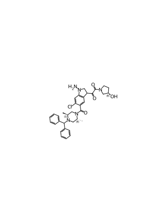 C[C@@H]1CN(C(c2ccccc2)c2ccccc2)[C@@H](C)CN1C(=O)c1cc2c(cc1Cl)N(N)CC2C(=O)C(=O)N1CC[C@@H](O)C1